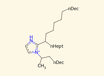 CCCCCCCCCCCCCCCC(CCCCCCC)c1[nH]cc[n+]1C(C)CCCCCCCCCCC